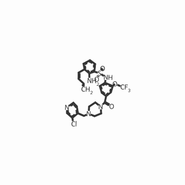 C=C/C=C\c1cccc(S(=O)(=O)Nc2ccc(C(=O)N3CCN(Cc4ccncc4Cl)CC3)cc2OC(F)(F)F)c1N